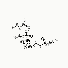 CC(C)[O-].CC(C)[O-].CC(C)[O-].CCCC(=O)[O-].CCCC(=O)[O-].CCCC(=O)[O-].[Al+3].[Al+3]